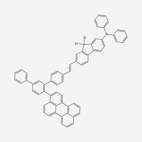 CCC1(CC)c2cc(/C=C/c3ccc(-c4cc(-c5ccccc5)ccc4-c4ccc5c6cccc7cccc(c8cccc4c85)c76)cc3)ccc2-c2ccc(N(c3ccccc3)c3ccccc3)cc21